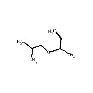 [CH2]C(CC)OCC(C)C